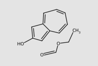 CCOC=O.Oc1cc2cccccc-2c1